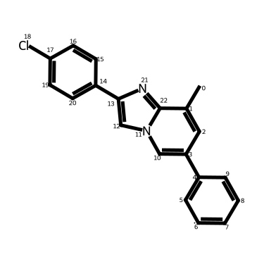 Cc1cc(-c2c[c]ccc2)cn2cc(-c3ccc(Cl)cc3)nc12